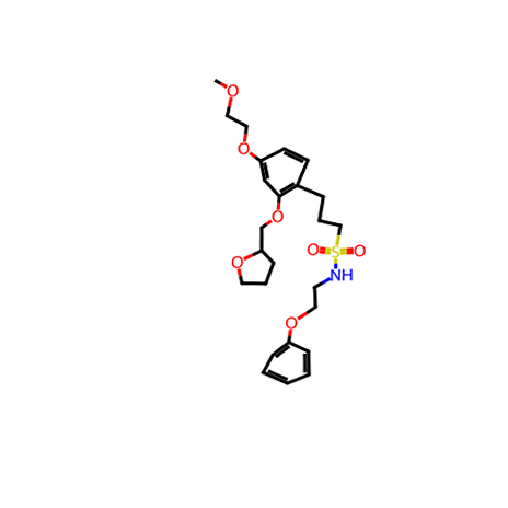 COCCOc1ccc(CCCS(=O)(=O)NCCOc2ccccc2)c(OCC2CCCO2)c1